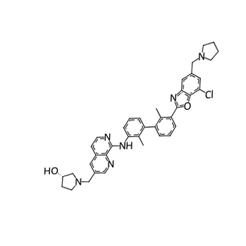 Cc1c(Nc2nccc3cc(CN4CC[C@H](O)C4)cnc23)cccc1-c1cccc(-c2nc3cc(CN4CCCC4)cc(Cl)c3o2)c1C